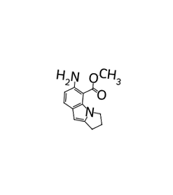 COC(=O)c1c(N)ccc2cc3n(c12)CCC3